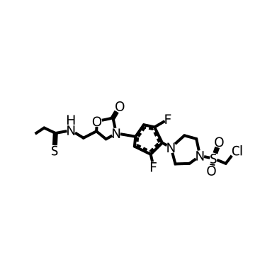 CCC(=S)NCC1CN(c2cc(F)c(N3CCN(S(=O)(=O)CCl)CC3)c(F)c2)C(=O)O1